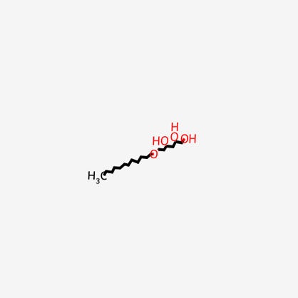 CCCCCCCCCCCCOCCC(O)CC(O)CO